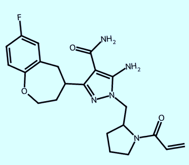 C=CC(=O)N1CCCC1Cn1nc(C2CCOc3ccc(F)cc3C2)c(C(N)=O)c1N